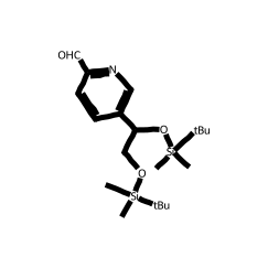 CC(C)(C)[Si](C)(C)OCC(O[Si](C)(C)C(C)(C)C)c1ccc(C=O)nc1